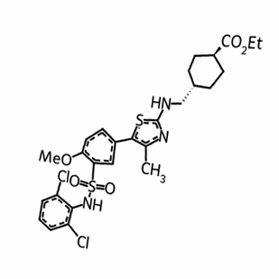 CCOC(=O)[C@H]1CC[C@H](CNc2nc(C)c(-c3ccc(OC)c(S(=O)(=O)Nc4c(Cl)cccc4Cl)c3)s2)CC1